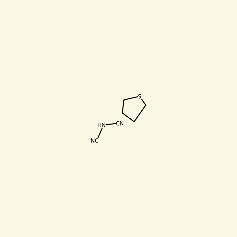 C1CCSC1.N#CNC#N